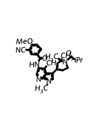 COc1ccc(C(=O)Nc2cnc3c(c(C4CCN(C(=O)C(C)C)C(C)(C)C4)cn3C)c2C)cc1C#N